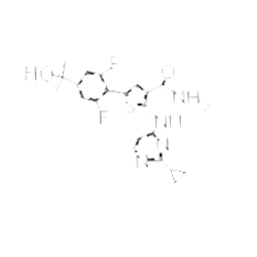 CC(C)(O)c1cc(F)c(-c2cc(C(N)=O)c(Nc3ccnc(C4CC4)n3)s2)c(F)c1